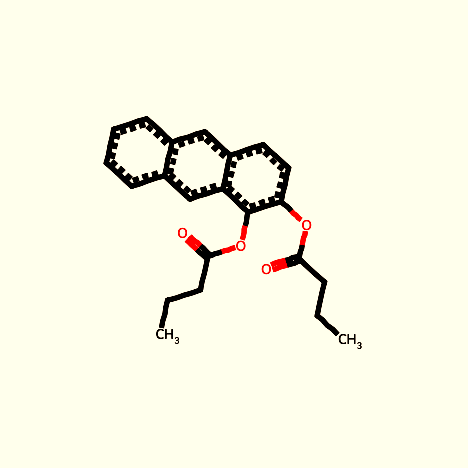 CCCC(=O)Oc1ccc2cc3ccccc3cc2c1OC(=O)CCC